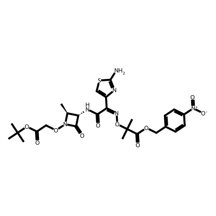 C[C@H]1[C@H](NC(=O)/C(=N\OC(C)(C)C(=O)OCc2ccc([N+](=O)[O-])cc2)c2csc(N)n2)C(=O)N1OCC(=O)OC(C)(C)C